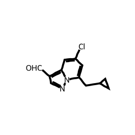 O=Cc1cnn2c(CC3CC3)cc(Cl)cc12